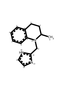 CC1CCc2ccccc2N1Cc1ncc[nH]1